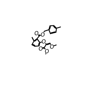 CO/C=C(/Oc1cccc(C)c1C(=O)OCc1ccc(C)cc1)C(=O)OC